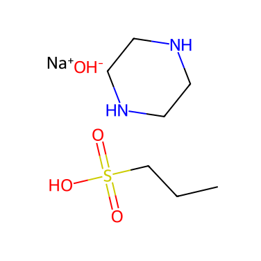 C1CNCCN1.CCCS(=O)(=O)O.[Na+].[OH-]